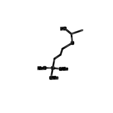 CO[Si](CCCOC(C)O)(OC)OC